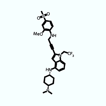 COc1cc(S(C)(=O)=O)ccc1NCC#Cc1cc2c(N[C@H]3CC[C@H](N(C)C)CC3)cccc2n1CC(F)(F)F